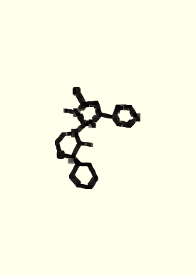 CC1[C@@H](C2C=CC=CC2)OCCN1c1nc(-c2ccncc2)cc(=O)n1C